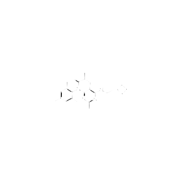 C1CCC1.CCNc1nc(C)nc2c1CC(C)C(=O)N2c1c(C)cc(C)cc1C